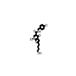 CCn1cc(C(=O)NCc2ccc(Cl)cc2)c(=O)c2cc(CCCCO)sc21